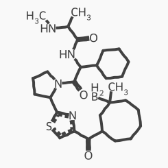 BC1(C)CCCCCC(C(=O)c2csc(C3CCCN3C(=O)C(NC(=O)C(C)NC)C3CCCCC3)n2)C1